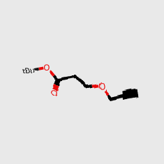 C#CCOCCC(=O)OC(C)(C)C